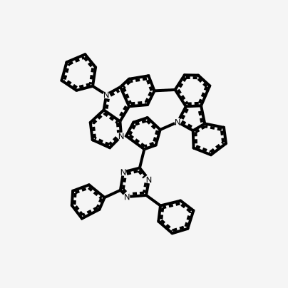 c1ccc(-c2nc(-c3ccccc3)nc(-c3cccc(-n4c5ccccc5c5cccc(-c6ccc7c(c6)c6ncccc6n7-c6ccccc6)c54)c3)n2)cc1